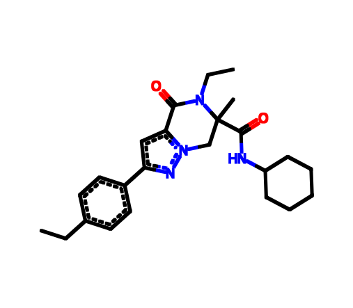 CCc1ccc(-c2cc3n(n2)CC(C)(C(=O)NC2CCCCC2)N(CC)C3=O)cc1